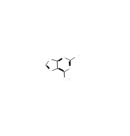 CNc1nc(SC)nc2c1N=C[N]2